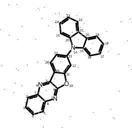 c1ccc2nc3c(nc2c1)oc1cc(-n2c4ccccc4c4ccccc42)ccc13